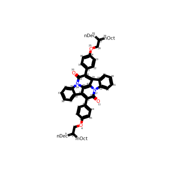 CCCCCCCCCCC(CCCCCCCC)COc1ccc(-c2c(=O)n3c4ccccc4c4c(-c5ccc(OCC(CCCCCCCC)CCCCCCCCCC)cc5)c(=O)n5c6ccccc6c2c5c43)cc1